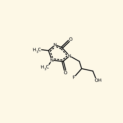 Cc1nc(=O)n(CC(F)CO)c(=O)n1C